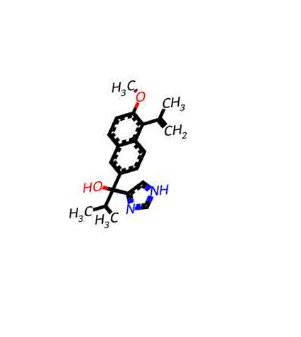 C=C(C)c1c(OC)ccc2cc(C(O)(c3c[nH]cn3)C(C)C)ccc12